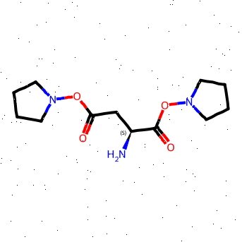 N[C@@H](CC(=O)ON1CCCC1)C(=O)ON1CCCC1